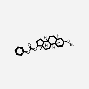 CCO[C@H]1C=C[C@@]2(C)[C@@H](CC[C@@H]3[C@@H]2CC[C@]2(C)[C@@H](OC(=O)Oc4ccccc4)CC[C@@H]32)C1